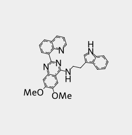 COc1cc2nc(-c3cccc4cccnc34)nc(NCCc3c[nH]c4ccccc34)c2cc1OC